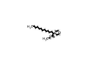 CCCCCCCCCCCCC(C(=O)OCC)N1CCOCC1